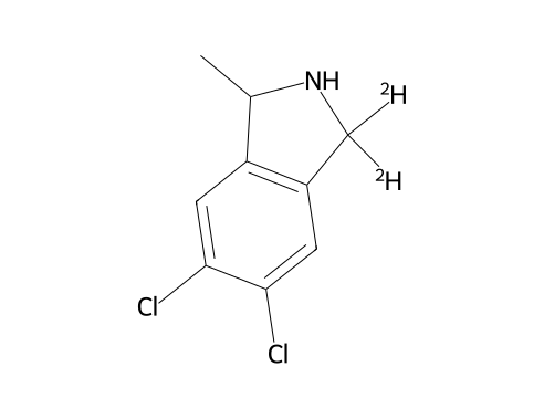 [2H]C1([2H])NC(C)c2cc(Cl)c(Cl)cc21